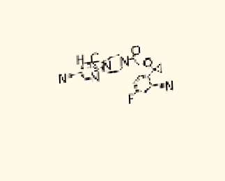 C[C@H]1CC2CN(C(=O)COC3(c4ccc(F)cc4C#N)CC3)CC1N2c1ccc(C#N)cn1